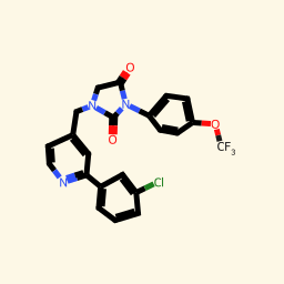 O=C1CN(Cc2ccnc(-c3cccc(Cl)c3)c2)C(=O)N1c1ccc(OC(F)(F)F)cc1